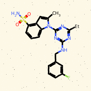 CCc1nc(NCc2cccc(F)c2)nc(-n2c(C)cc3c(S(N)(=O)=O)cccc32)n1